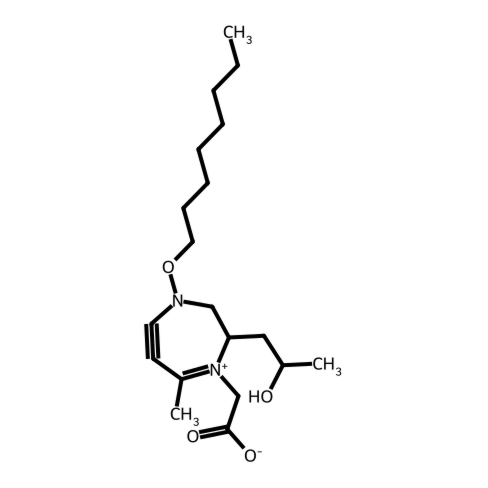 CCCCCCCCON1C#CC(C)=[N+](CC(=O)[O-])C(CC(C)O)C1